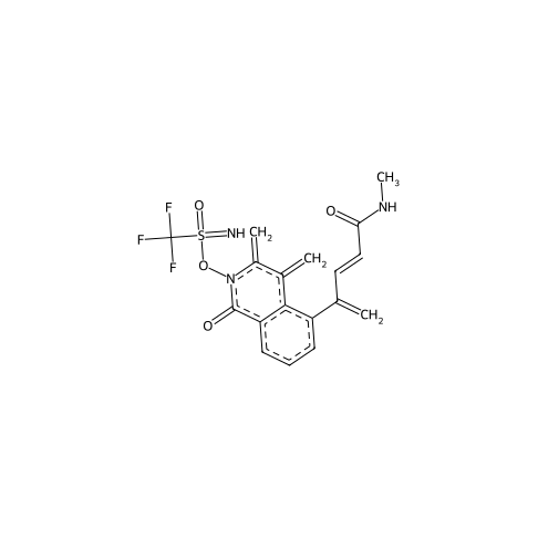 C=C(/C=C/C(=O)NC)c1cccc2c(=O)n(OS(=N)(=O)C(F)(F)F)c(=C)c(=C)c12